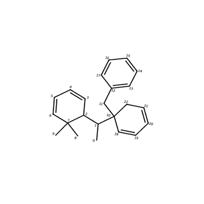 CC(C1C=CC=CC1(C)C)C1(Cc2ccccc2)C=CC=CC1